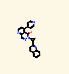 O=c1c2c(-c3ccncc3)ccnc2cnn1C1CC1c1ccc2ccccc2n1